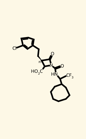 O=C(O)C1[C@@H](CCc2cccc(Cl)c2)C(=O)N1C(=O)NC(C1CCCCCCC1)C(F)(F)F